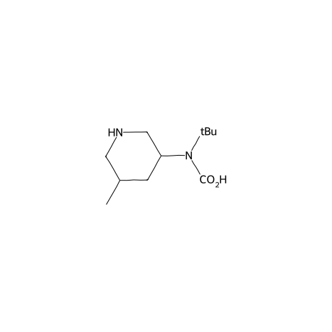 CC1CNCC(N(C(=O)O)C(C)(C)C)C1